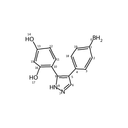 Bc1ccc(-c2cn[nH]c2-c2ccc(O)cc2O)cc1